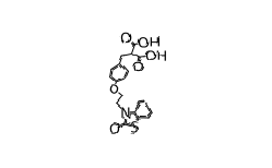 O=C(O)C(Cc1ccc(OCCn2c(=O)sc3ccccc32)cc1)C(=O)O